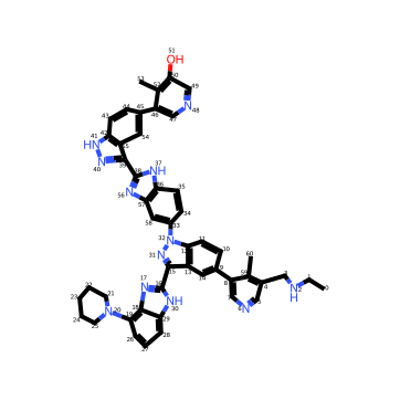 CCNCc1cncc(-c2ccc3c(c2)c(-c2nc4c(N5CCCCC5)cccc4[nH]2)nn3-c2ccc3[nH]c(-c4n[nH]c5ccc(-c6cncc(O)c6C)cc45)nc3c2)c1C